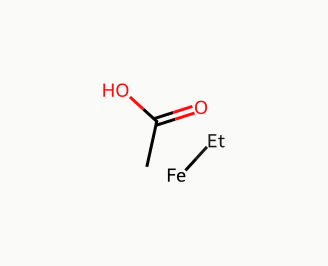 CC(=O)O.C[CH2][Fe]